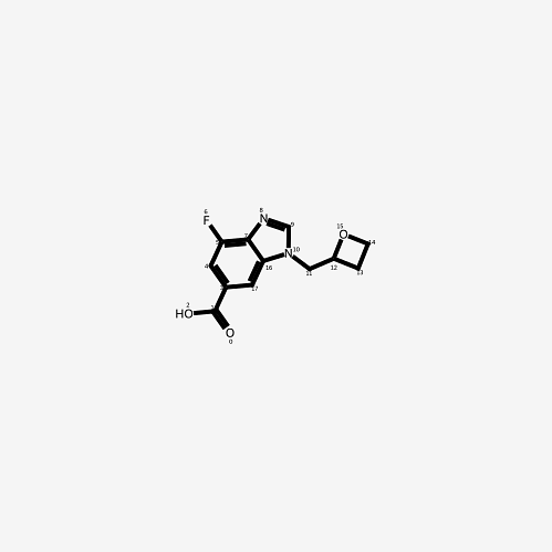 O=C(O)c1cc(F)c2ncn(CC3CCO3)c2c1